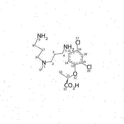 CN(CCCN)CCCN.C[C@@H](Oc1ccc(Cl)cc1Cl)C(=O)O